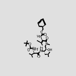 CC(C)C[C@H](NC(=O)[C@@H](NC(=O)OC(C)(C)C)C(C)C)[C@@H](O)CN(C)C(=O)[C@H](NC(=O)OCc1ccccc1)C(C)C